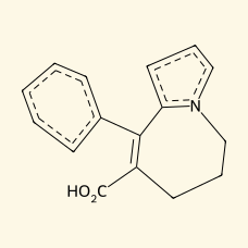 O=C(O)C1=C(c2ccccc2)c2cccn2CCC1